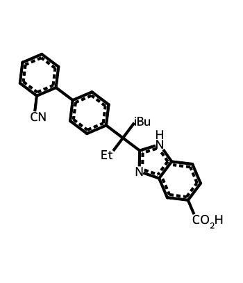 CCC(C)C(CC)(c1ccc(-c2ccccc2C#N)cc1)c1nc2cc(C(=O)O)ccc2[nH]1